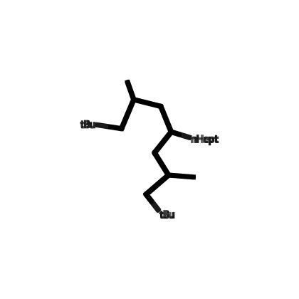 CCCCCCC[C](CC(C)CC(C)(C)C)CC(C)CC(C)(C)C